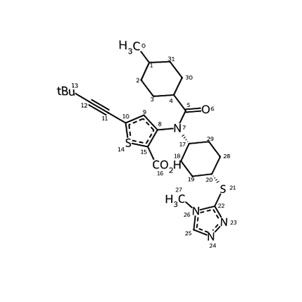 CC1CCC(C(=O)N(c2cc(C#CC(C)(C)C)sc2C(=O)O)[C@H]2CC[C@@H](Sc3nncn3C)CC2)CC1